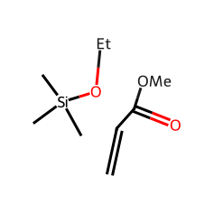 C=CC(=O)OC.[CH2]CO[Si](C)(C)C